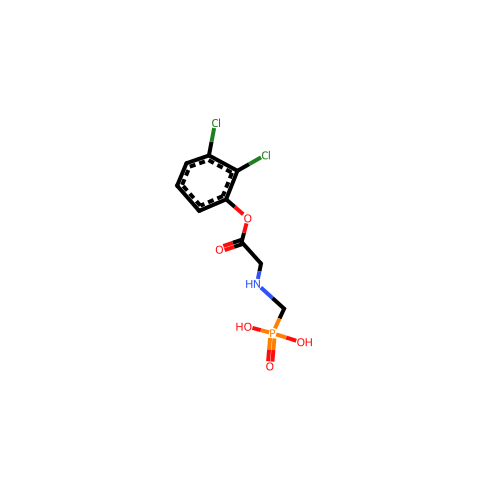 O=C(CNCP(=O)(O)O)Oc1cccc(Cl)c1Cl